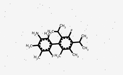 Cc1c(C)c(F)c(-c2c(C)c(C)c(C(C)C)c(F)c2C(C)C)c(C)c1N